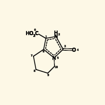 O=C(O)c1[nH]c(=O)n2c1CCCC2